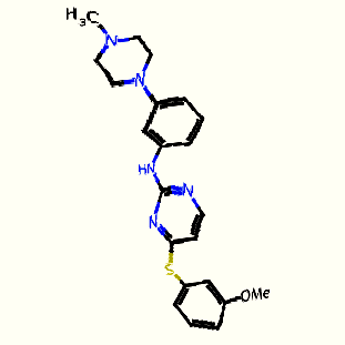 COc1cccc(Sc2ccnc(Nc3cccc(N4CCN(C)CC4)c3)n2)c1